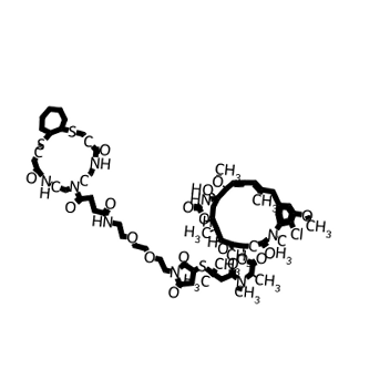 COc1cc2cc(c1Cl)N(C)C(=O)C[C@H](OC(=O)[C@H](C)N(C)C(=O)CC(C)(C)SC1CC(=O)N(CCOCCOCCNC(=O)CCC(=O)N3CCNC(=O)CCSC4CCCCCC4SCCC(=O)NCC3)C1=O)[C@]1(C)O[C@H]1[C@H](C)[C@@H]1C[C@@](O)(NC(=O)O1)[C@H](OC)/C=C/C=C(\C)C2